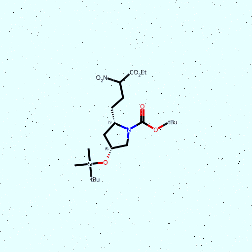 CCOC(=O)C(CC[C@H]1C[C@@H](O[Si](C)(C)C(C)(C)C)CN1C(=O)OC(C)(C)C)[N+](=O)[O-]